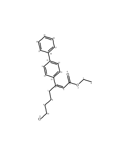 CCOC(=O)/C=C(/CCCCCl)c1ccc(-c2ccccc2)cc1